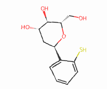 OC[C@@H]1O[C@@H](c2ccccc2S)C[C@H](O)[C@H]1O